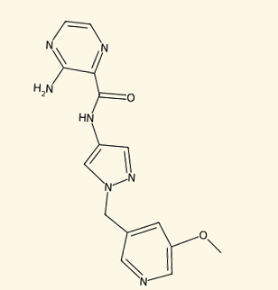 COc1cncc(Cn2cc(NC(=O)c3nccnc3N)cn2)c1